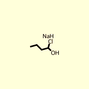 CCCC(O)Cl.[NaH]